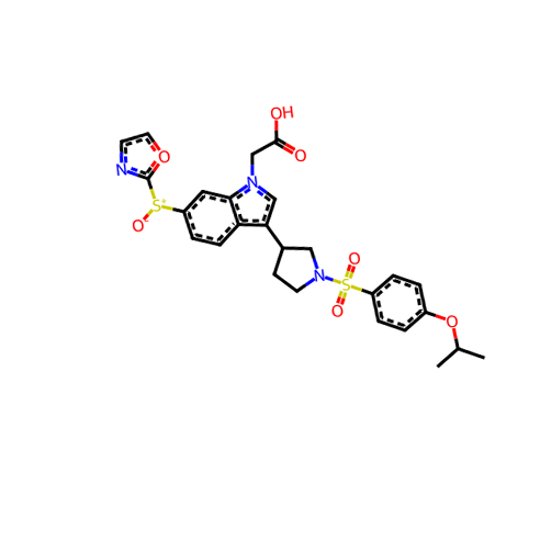 CC(C)Oc1ccc(S(=O)(=O)N2CCC(c3cn(CC(=O)O)c4cc([S+]([O-])c5ncco5)ccc34)C2)cc1